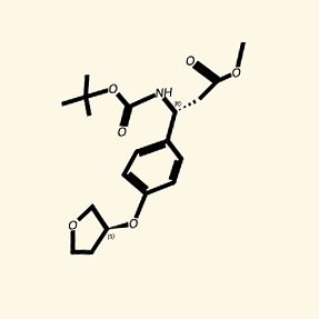 COC(=O)C[C@@H](NC(=O)OC(C)(C)C)c1ccc(O[C@H]2CCOC2)cc1